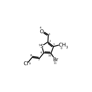 Cc1c(C=O)sc(C=CCl)c1Br